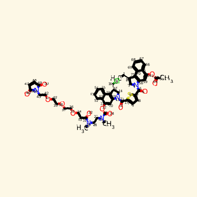 CC[C@@H]1CN(C(=O)c2ccc(C(=O)N3C[C@@H](CCl)c4c3cc(OC(=O)N(C)CCN(C)C(=O)CCOCCOCCOCCN3C(=O)C=CC3=O)c3ccccc43)s2)c2cc(OC(C)=O)c3ccccc3c21